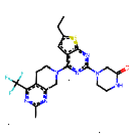 CCc1cc2c(N3CCc4c(nc(C)nc4C(F)(F)F)C3)nc(N3CCNC(=O)C3)nc2s1